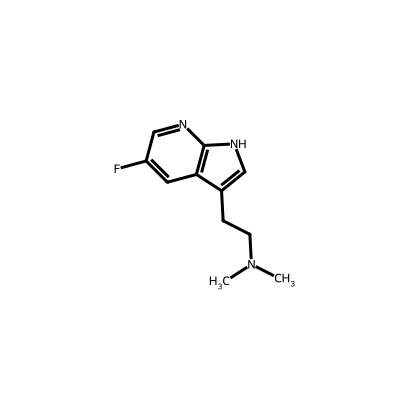 CN(C)CCc1c[nH]c2ncc(F)cc12